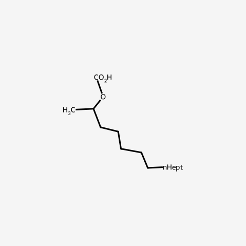 CCCCCCCCCCCCC(C)OC(=O)O